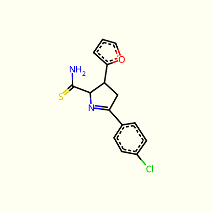 NC(=S)C1N=C(c2ccc(Cl)cc2)CC1c1ccco1